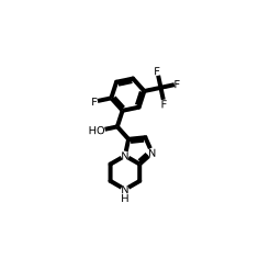 OC(c1cc(C(F)(F)F)ccc1F)c1cnc2n1CCNC2